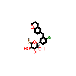 CS[C@H]1O[C@@H](c2ccc(Br)c(Cc3ccc4c(c3)CCCO4)c2)[C@H](O)[C@@H](O)[C@@H]1O